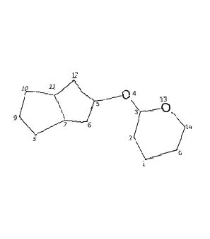 C1CCC(OC2CC3CCCC3C2)OC1